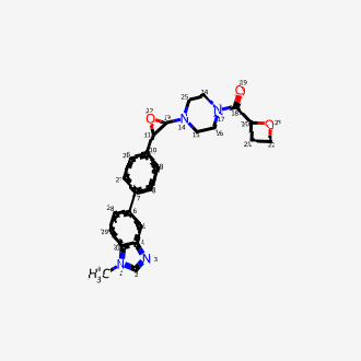 Cn1cnc2cc(-c3ccc(C4OC4N4CCN(C(=O)C5CCO5)CC4)cc3)ccc21